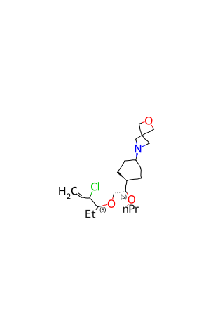 C=CC(Cl)[C@H](CC)OC[C@@H](OCCC)[C@H]1CC[C@@H](N2CC3(COC3)C2)CC1